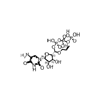 C=CCOC(OP(=O)(O)OP(=O)(O)OP(=O)(O)O)[C@H]1O[C@@H](n2cc(N)c(=O)[nH]c2=O)[C@H](O)[C@@H]1O